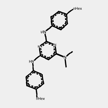 CCCCCCc1ccc(Nc2cc(N(C)C)nc(Nc3ccc(CCCCCC)cc3)n2)cc1